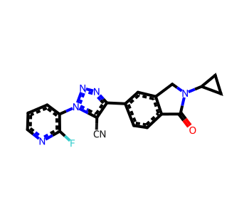 N#Cc1c(-c2ccc3c(c2)CN(C2CC2)C3=O)nnn1-c1cccnc1F